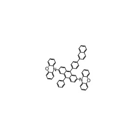 c1ccc(-c2c3ccc(N4c5ccccc5Oc5ccccc54)cc3c(-c3ccc(-c4ccc5ccccc5c4)cc3)c3ccc(N4c5ccccc5Oc5ccccc54)cc23)cc1